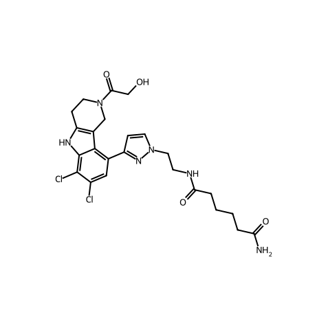 NC(=O)CCCCC(=O)NCCn1ccc(-c2cc(Cl)c(Cl)c3[nH]c4c(c23)CN(C(=O)CO)CC4)n1